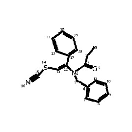 CCC(=O)N(Cc1ccccc1)C(=CSC#N)c1ccccc1